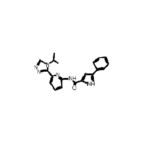 CC(C)n1cnnc1-c1cccc(NC(=O)c2cc(-c3ccccc3)c[nH]2)n1